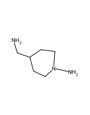 NCC1CCN(N)CC1